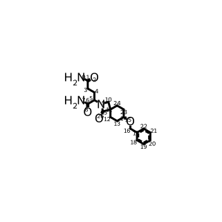 NC(=O)CCC(C(N)=O)N1CC2(CCC(OCc3ccccc3)CC2)C1=O